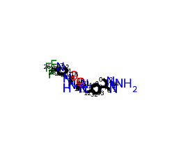 Cc1nc(N)ncc1-c1ccc(C[n+]2cc([N-]C(=O)Nc3ccnc(C(F)(F)F)c3)on2)cc1